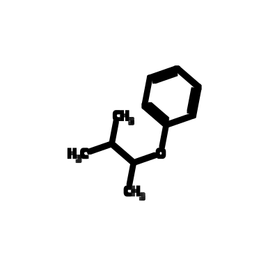 CC(C)C(C)Oc1ccccc1